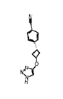 N#Cc1ccc([C@H]2C[C@H](Oc3c[nH]nn3)C2)cc1